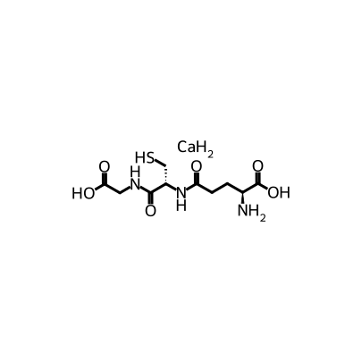 N[C@@H](CCC(=O)N[C@@H](CS)C(=O)NCC(=O)O)C(=O)O.[CaH2]